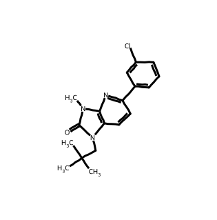 Cn1c(=O)n(CC(C)(C)C)c2ccc(-c3cccc(Cl)c3)nc21